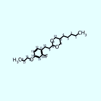 CCCCCC1COC(CCc2ccc(OCCC)cc2F)OC1